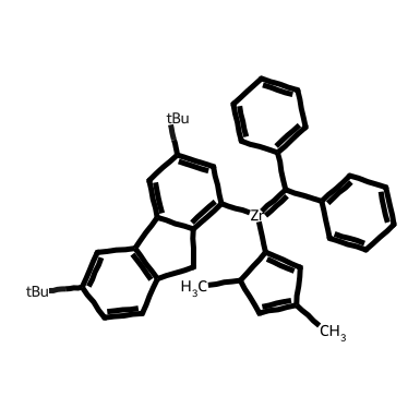 CC1=CC(C)[C]([Zr](=[C](c2ccccc2)c2ccccc2)[c]2cc(C(C)(C)C)cc3c2Cc2ccc(C(C)(C)C)cc2-3)=C1